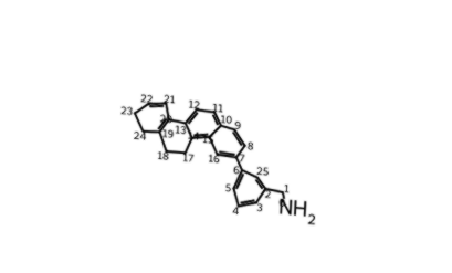 NCc1cccc(-c2ccc3ccc4c(c3c2)CCC2=C4C=CCC2)c1